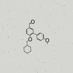 COc1ccc(-c2cc(C=O)ccc2OCC2CCCCC2)cc1